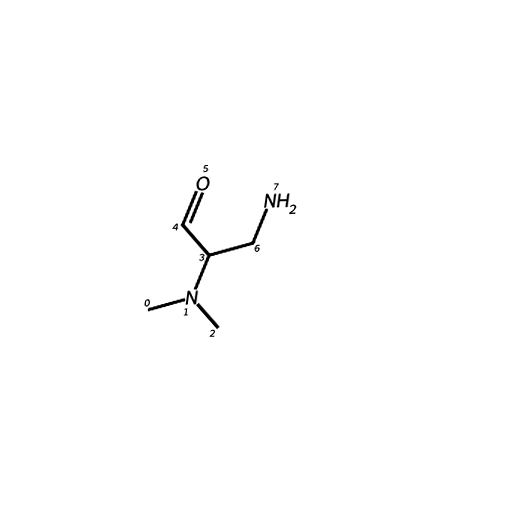 CN(C)C(C=O)CN